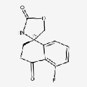 O=C1N[C@]2(CCC(=O)c3c(F)cccc32)CO1